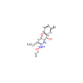 C=CCONc1nc2c(=O)c3cc(CC)ccc3oc2cc1C(=O)OCC